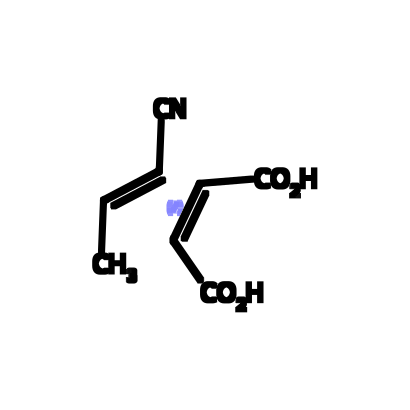 CC=CC#N.O=C(O)/C=C\C(=O)O